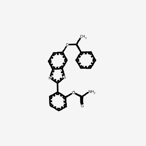 CC(Oc1ccc2nc(-c3ccccc3OC(N)=O)sc2c1)c1ccccc1